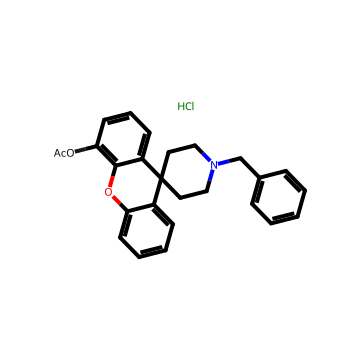 CC(=O)Oc1cccc2c1Oc1ccccc1C21CCN(Cc2ccccc2)CC1.Cl